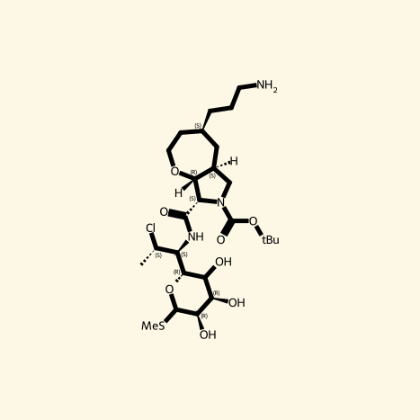 CSC1O[C@H]([C@H](NC(=O)[C@@H]2[C@@H]3OCC[C@@H](CCCN)C[C@H]3CN2C(=O)OC(C)(C)C)[C@H](C)Cl)C(O)[C@@H](O)[C@H]1O